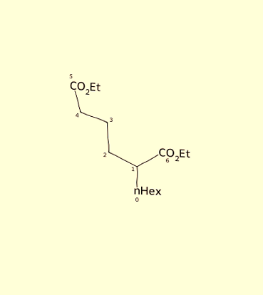 CCCCCCC(CCCC(=O)OCC)C(=O)OCC